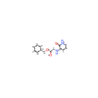 O=C(CNc1ccc[nH]c1=O)OCc1ccccc1